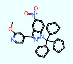 COc1cc(-c2nn(C(c3ccccc3)(c3ccccc3)c3ccccc3)c3ccc([N+](=O)[O-])cc23)ccn1